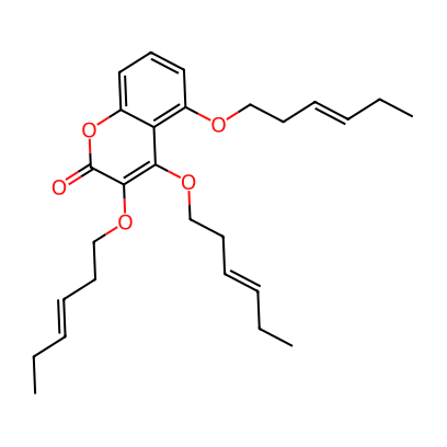 CCC=CCCOc1c(OCCC=CCC)c2c(OCCC=CCC)cccc2oc1=O